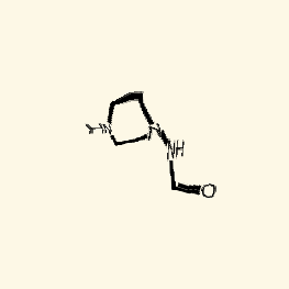 O=CNN1CCNC1